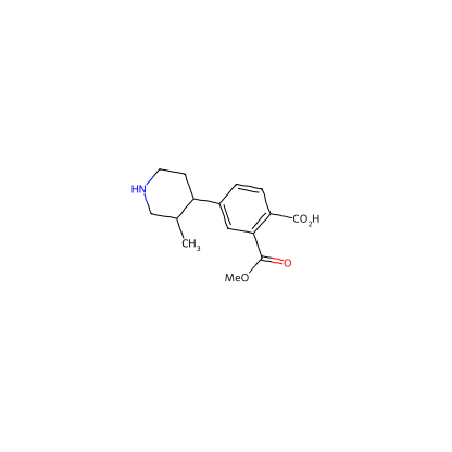 COC(=O)c1cc(C2CCNCC2C)ccc1C(=O)O